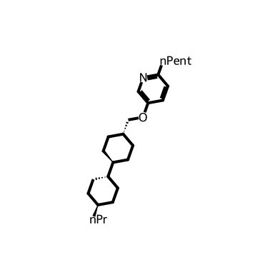 CCCCCc1ccc(OC[C@H]2CC[C@H]([C@H]3CC[C@H](CCC)CC3)CC2)cn1